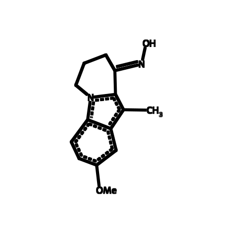 COc1ccc2c(c1)c(C)c1n2CCCC1=NO